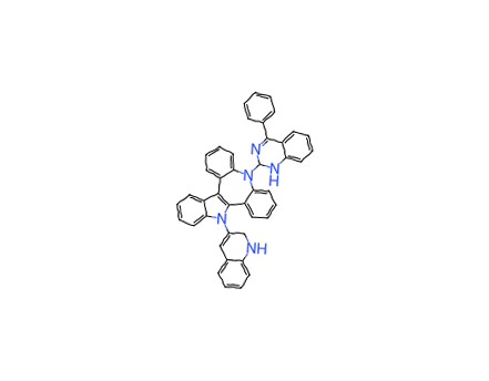 C1=C(n2c3c(c4ccccc42)-c2ccccc2N(C2N=C(c4ccccc4)c4ccccc4N2)c2ccccc2-3)CNc2ccccc21